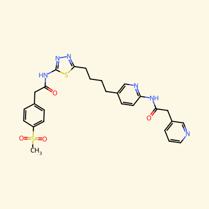 CS(=O)(=O)c1ccc(CC(=O)Nc2nnc(CCCCc3ccc(NC(=O)Cc4cccnc4)nc3)s2)cc1